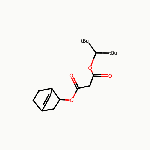 CC(C)(C)C(OC(=O)CC(=O)OC1CC2C=CC1CC2)C(C)(C)C